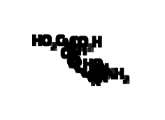 Nc1nc(O)c2cc(C=CCc3ccc(C(=O)N[C@@H](CCC(=O)O)C(=O)O)cc3)cnc2n1